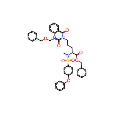 CN(C(CCCn1c(=O)c2ccccc2n(COCc2ccccc2)c1=O)C(=O)OCc1ccccc1)S(=O)(=O)c1ccc(Oc2ccccc2)cc1